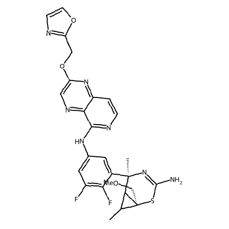 COC[C@@]12SC(N)=N[C@](C)(c3cc(Nc4nccc5nc(OCc6ncco6)cnc45)cc(F)c3F)C1C2C